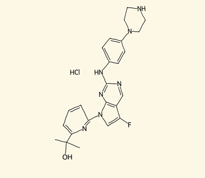 CC(C)(O)c1cccc(-n2cc(F)c3cnc(Nc4ccc(N5CCNCC5)cc4)nc32)n1.Cl